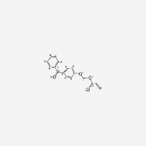 C=CC(=O)OCOc1ccc(C(=O)c2ccccc2)cc1